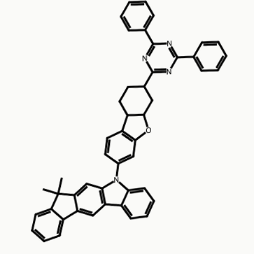 CC1(C)c2ccccc2-c2cc3c4ccccc4n(-c4ccc5c(c4)OC4CC(c6nc(-c7ccccc7)nc(-c7ccccc7)n6)CCC54)c3cc21